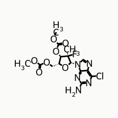 COC(=O)OC[C@H]1O[C@@H](n2cnc3c(Cl)nc(N)nc32)[C@](C)(F)[C@@H]1OC(=O)OC